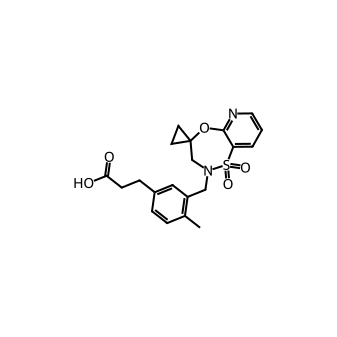 Cc1ccc(CCC(=O)O)cc1CN1CC2(CC2)Oc2ncccc2S1(=O)=O